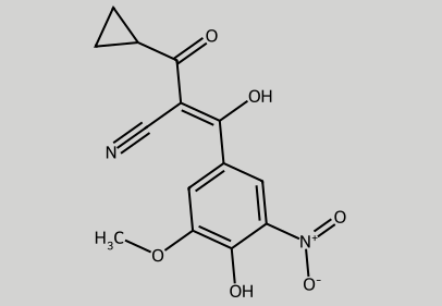 COc1cc(/C(O)=C(\C#N)C(=O)C2CC2)cc([N+](=O)[O-])c1O